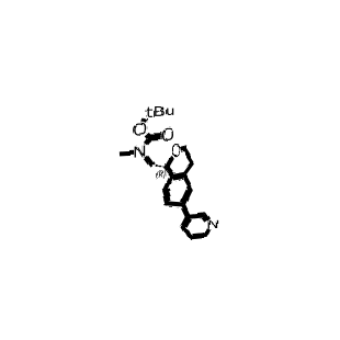 CN(C[C@@H]1OCCc2cc(-c3cccnc3)ccc21)C(=O)OC(C)(C)C